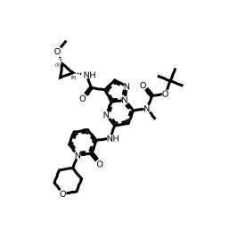 CO[C@H]1C[C@H]1NC(=O)c1cnn2c(N(C)C(=O)OC(C)(C)C)cc(Nc3cccn(C4CCOCC4)c3=O)nc12